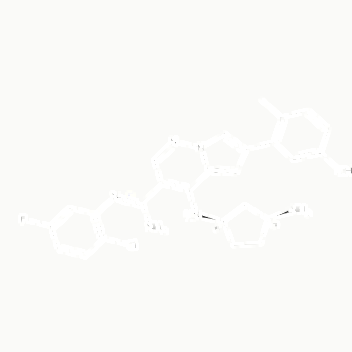 Cc1ccc(O)cc1-c1cc2c(N[C@@H]3CC[C@H](N)C3)c(/C(N)=N/c3cc(F)ccc3Cl)cnn2c1